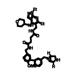 CCc1nc2c(cnn2CC)c(NC2CCOCC2)c1CNC(=O)CCC(=O)NCc1ccc(OC)c(-c2cccc(CN3C[C@@H]4C[C@H]3CN4)c2)c1